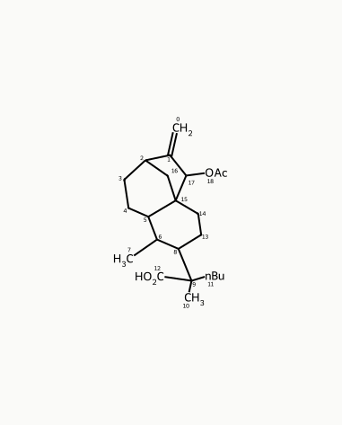 C=C1C2CCC3C(C)C(C(C)(CCCC)C(=O)O)CCC3(C2)C1OC(C)=O